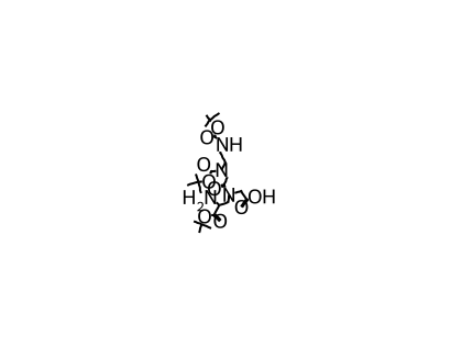 CC(C)(C)OC(=O)NCCN(CC(=O)N(CC(=O)O)CC(N)C(=O)OC(C)(C)C)C(=O)OC(C)(C)C